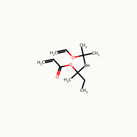 C=COC(C)(C)BC(C)(CC)OC(=O)C=C